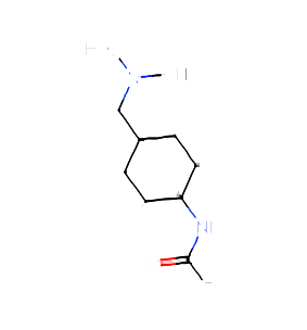 CCC(=O)NC1CCC(CN(C)C)CC1